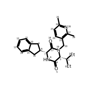 CCC(CC)[C@@H]1C(=O)N[C@H](C2Cc3ccccc3C2)C(=O)N1Cc1ccc(C)nc1C